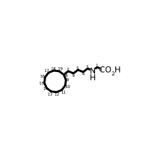 O=C(O)CNCCCCCC1CCCCCCCCCCC1